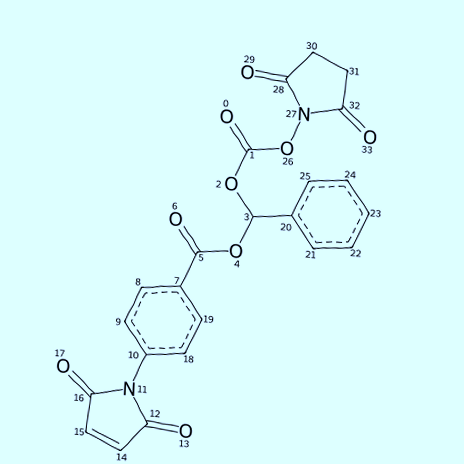 O=C(OC(OC(=O)c1ccc(N2C(=O)C=CC2=O)cc1)c1ccccc1)ON1C(=O)CCC1=O